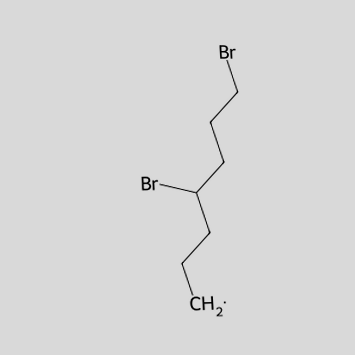 [CH2]CCC(Br)CCCBr